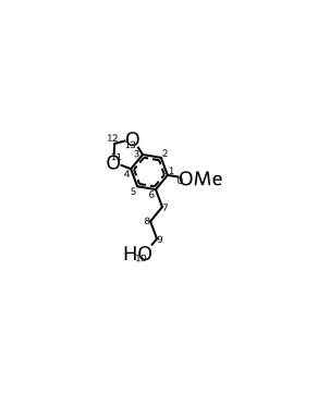 COc1cc2c(cc1CCCO)OCO2